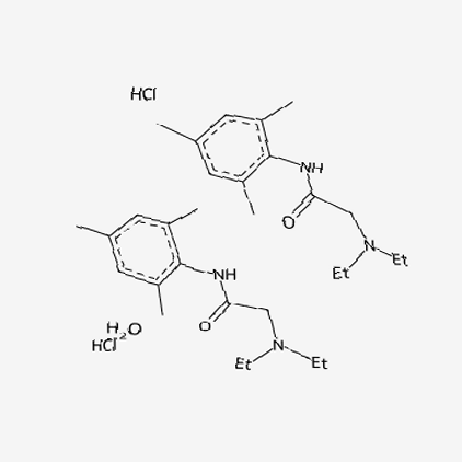 CCN(CC)CC(=O)Nc1c(C)cc(C)cc1C.CCN(CC)CC(=O)Nc1c(C)cc(C)cc1C.Cl.Cl.O